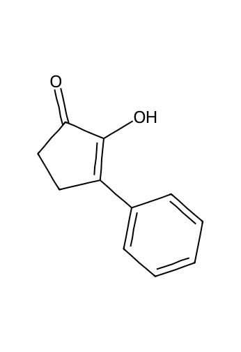 O=C1CCC(c2ccccc2)=C1O